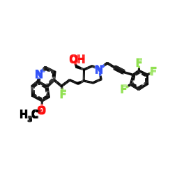 COc1ccc2nccc([C@H](F)CC[C@@H]3CCN(CC#Cc4c(F)ccc(F)c4F)C[C@@H]3CO)c2c1